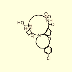 O=C1NS(=O)(=O)CCCCC[C@H](CO)[C@@H]2CC[C@H]2CN2CCCCc3cc(Cl)ccc3COc3ccc1cc32